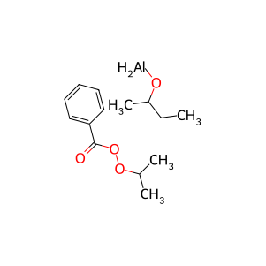 CC(C)OOC(=O)c1ccccc1.CCC(C)[O][AlH2]